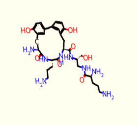 NCCC[C@@H]1NC(=O)[C@@H](N)Cc2cc(ccc2O)-c2ccc(O)c(c2)C[C@@H](C(=O)N[C@H](CO)CNC(=O)[C@@H](N)CCCN)NC1=O